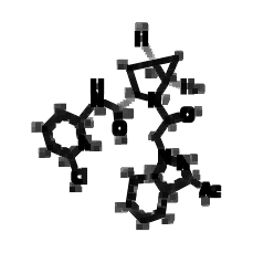 CC(=O)c1nn(CC(=O)N2[C@@H]3C[C@@H]3C[C@H]2C(=O)Nc2cccc(Cl)n2)c2ccccc12